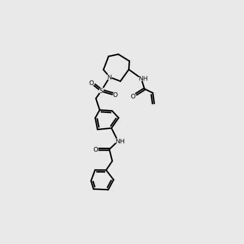 C=CC(=O)NC1CCCCN(S(=O)(=O)Cc2ccc(NC(=O)Cc3ccccc3)cc2)C1